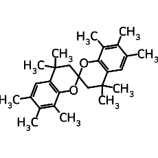 Cc1cc2c(c(C)c1C)OC1(CC2(C)C)CC(C)(C)c2cc(C)c(C)c(C)c2O1